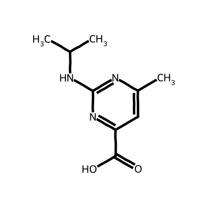 Cc1cc(C(=O)O)nc(NC(C)C)n1